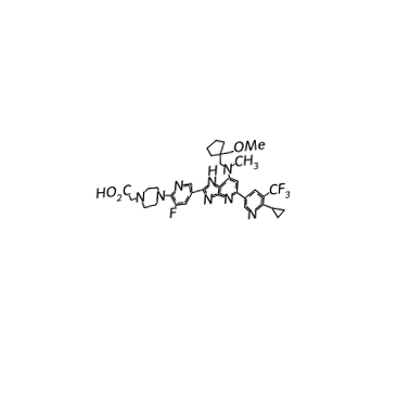 COCC1(CN(C)c2cc(-c3cnc(C4CC4)c(C(F)(F)F)c3)nc3nc(-c4cnc(N5CCN(CC(=O)O)CC5)c(F)c4)[nH]c23)CCCC1